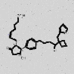 O=C(O)CCC/C=C\C[C@H]1C(=O)C[C@@H](O)[C@H]1c1ccc(CCCC(O)C2(Cc3cccs3)CCC2)cc1